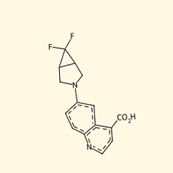 O=C(O)c1ccnc2ccc(N3CC4C(C3)C4(F)F)cc12